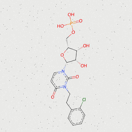 O=c1ccn([C@@H]2O[C@H](COP(=O)(O)O)[C@H](O)[C@@H]2O)c(=O)n1CCc1ccccc1Cl